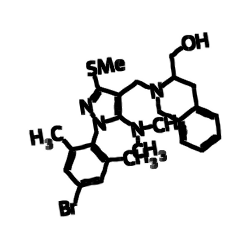 CSc1nn(-c2c(C)cc(Br)cc2C)c(N(C)C)c1CN1Cc2ccccc2CC1CO